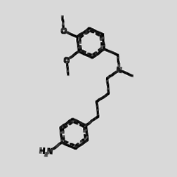 COc1ccc(CN(C)CCCCc2ccc(N)cc2)cc1OC